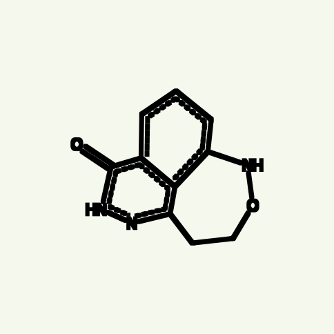 O=c1[nH]nc2c3c(cccc13)NOCC2